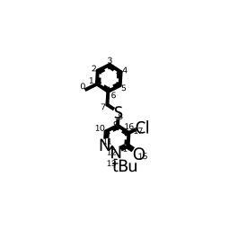 Cc1ccccc1CSc1cnn(C(C)(C)C)c(=O)c1Cl